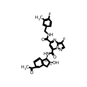 CC(=O)c1ccc2c(c1)C[C@H](O)[C@@H]2NC(=O)c1cc(C(=O)NCc2ccc(F)c(C)c2)nc2c(F)cnn12